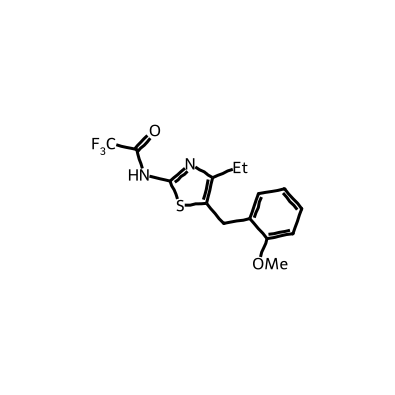 CCc1nc(NC(=O)C(F)(F)F)sc1Cc1ccccc1OC